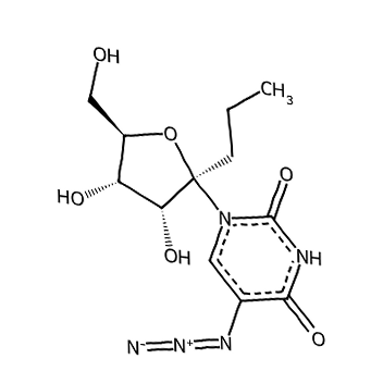 CCC[C@@]1(n2cc(N=[N+]=[N-])c(=O)[nH]c2=O)O[C@H](CO)[C@@H](O)[C@H]1O